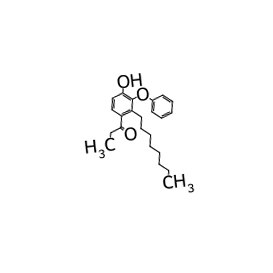 CCCCCCCCc1c(C(=O)CC)ccc(O)c1Oc1ccccc1